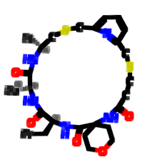 CC[C@@H]1CSCc2cccc(n2)CSCCC(=O)NC2(CCOCC2)C(=O)N[C@@H](CC(C)C)C(=O)N[C@@H]([C@@H](C)CC)C(=O)N1